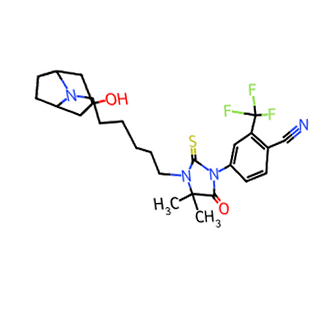 CC1(C)C(=O)N(c2ccc(C#N)c(C(F)(F)F)c2)C(=S)N1CCCCCCN1C2CCC1CC(O)C2